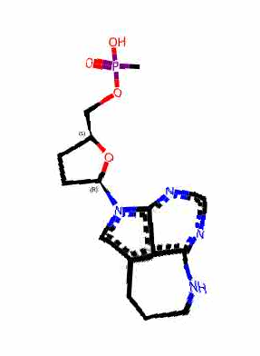 CP(=O)(O)OC[C@@H]1CC[C@H](n2cc3c4c(ncnc42)NCCC3)O1